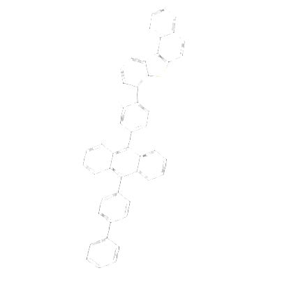 c1ccc(-c2ccc(-c3c4ccccc4c(-c4ccc5c(c4)sc4ccc6c(sc7ccc8ccccc8c76)c45)c4ccccc34)cc2)cc1